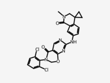 CN1CC2(CC2)c2ccc(Nc3ncc4c(n3)OCN(c3c(Cl)cccc3Cl)C4=O)cc2C1=O